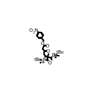 CC(O[Si](C)(C)C(C)(C)C)C1(C)C(=O)N([Si](C)(C)C(C)(C)C)C1CC(=O)CC(=O)OCc1ccc([N+](=O)[O-])cc1